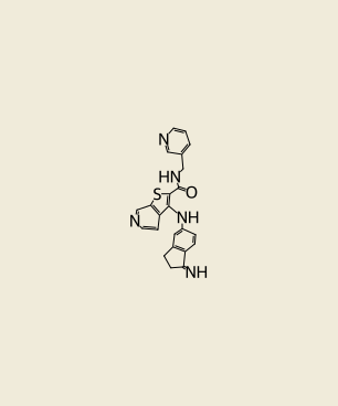 N=C1CCc2cc(Nc3c(C(=O)NCc4cccnc4)sc4cnccc34)ccc21